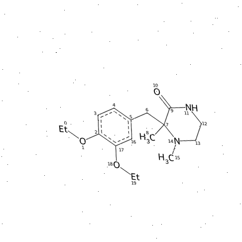 CCOc1ccc(CC2(C)C(=O)NCCN2C)cc1OCC